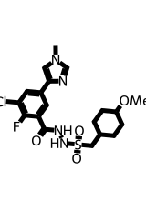 COC1CCC(CS(=O)(=O)NNC(=O)c2cc(-c3cn(C)cn3)cc(Cl)c2F)CC1